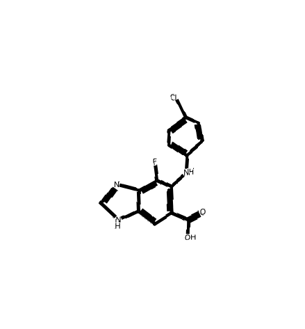 O=C(O)c1cc2[nH]cnc2c(F)c1Nc1ccc(Cl)cc1